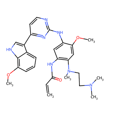 C=CC(=O)Nc1cc(Nc2nccc(-c3c[nH]c4c(OC)cccc34)n2)c(OC)cc1N(C)CCN(C)C